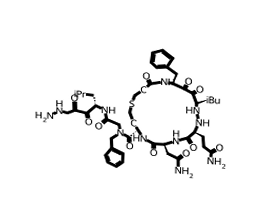 CC[C@H](C)C1NN[C@@H](CCC(N)=O)C(=O)N[C@@H](CC(N)=O)C(=O)N[C@H](C(=O)N(CC(=O)N[C@@H](CC(C)C)C(=O)C(=O)CNN)Cc2ccccc2)CCSCCC(=O)N[C@@H](Cc2ccccc2)C(=O)C1=O